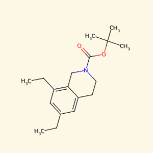 CCc1cc(CC)c2c(c1)CCN(C(=O)OC(C)(C)C)C2